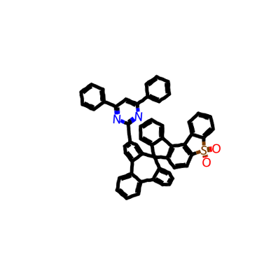 O=S1(=O)c2ccccc2-c2c1ccc1c2-c2ccccc2C12c1ccccc1-c1ccccc1-c1ccc(-c3nc(-c4ccccc4)cc(-c4ccccc4)n3)cc12